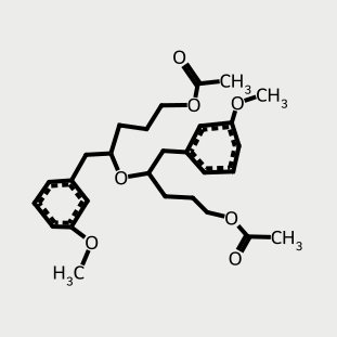 COc1cccc(CC(CCCOC(C)=O)OC(CCCOC(C)=O)Cc2cccc(OC)c2)c1